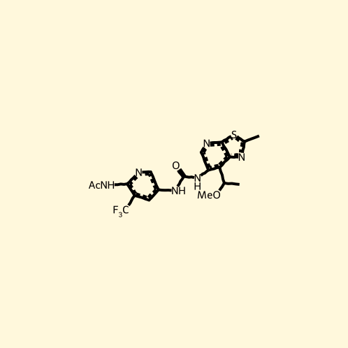 COC(C)c1c(NC(=O)Nc2cnc(NC(C)=O)c(C(F)(F)F)c2)cnc2sc(C)nc12